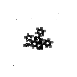 CCCc1cc(CCC)c(C2CCCC2)c(OC(=O)c2ccccc2)c1OC(=O)c1ccccc1